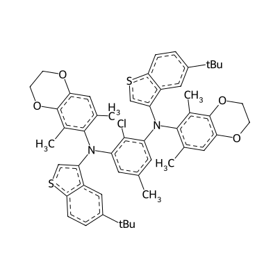 Cc1cc(N(c2c(C)cc3c(c2C)OCCO3)c2csc3ccc(C(C)(C)C)cc23)c(Cl)c(N(c2c(C)cc3c(c2C)OCCO3)c2csc3ccc(C(C)(C)C)cc23)c1